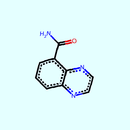 NC(=O)c1cccc2nccnc12